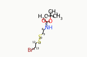 CC(C)(C)OC(=O)NCCSSCCBr